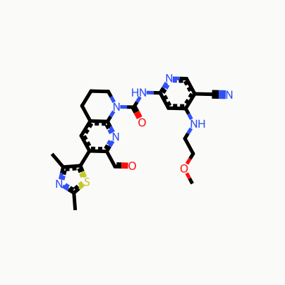 COCCNc1cc(NC(=O)N2CCCc3cc(-c4sc(C)nc4C)c(C=O)nc32)ncc1C#N